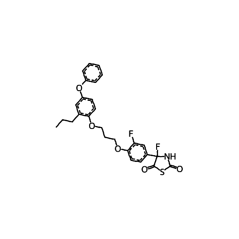 CCCc1cc(Oc2ccccc2)ccc1OCCCOc1ccc(C2(F)NC(=O)SC2=O)cc1F